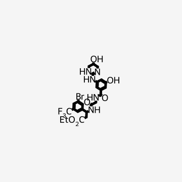 CCOC(=O)CC(NC(=O)CNC(=O)c1cc(O)cc(NC2=NCC(O)CN2)c1)c1cc(Br)cc(C(F)(F)F)c1